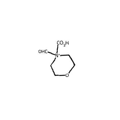 O=C[N+]1(C(=O)O)CCOCC1